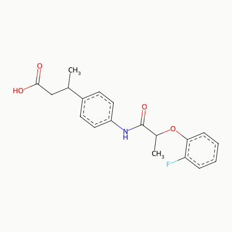 CC(Oc1ccccc1F)C(=O)Nc1ccc(C(C)CC(=O)O)cc1